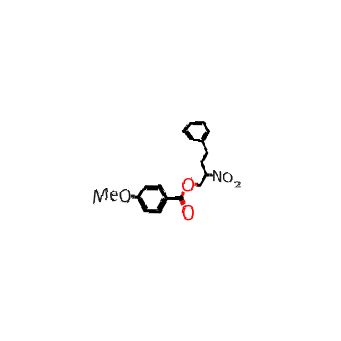 COc1ccc(C(=O)OCC(CCc2ccccc2)[N+](=O)[O-])cc1